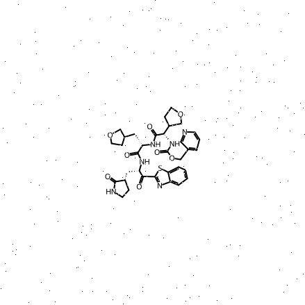 O=C(N[C@H](C(=O)N[C@@H](CC1CCOC1)C(=O)N[C@@H](C[C@@H]1CCNC1=O)C(=O)c1nc2ccccc2s1)C1CCOC1)OCc1cccnc1